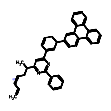 C=C/C=C\CC(C)c1cc(C2=CC(c3ccc4c5ccccc5c5ccccc5c4c3)CC=C2)nc(-c2ccccc2)n1